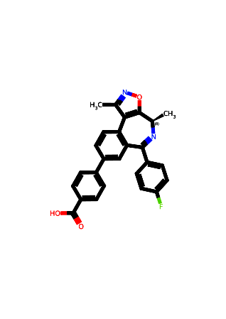 Cc1noc2c1-c1ccc(-c3ccc(C(=O)O)cc3)cc1C(c1ccc(F)cc1)=N[C@@H]2C